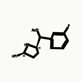 CCC[C@@H]1CC[C@H](C(OC(C)=O)c2cccc(F)c2)N1